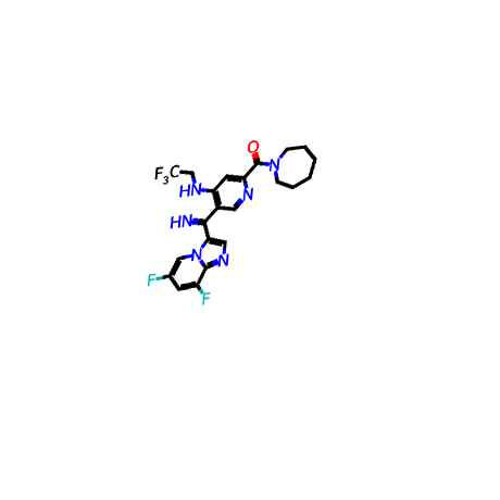 N=C(c1cnc(C(=O)N2CCCCCC2)cc1NCC(F)(F)F)c1cnc2c(F)cc(F)cn12